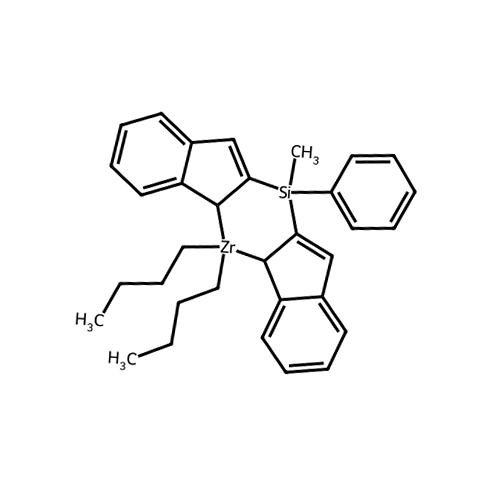 CCC[CH2][Zr]1([CH2]CCC)[CH]2C(=Cc3ccccc32)[Si](C)(c2ccccc2)C2=Cc3ccccc3[CH]21